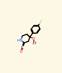 CCOC1(c2ccc(F)cc2)CCNC(=C=O)C1